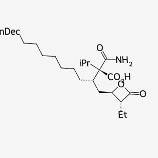 CCCCCCCCCCCCCCCCC[C@@H](C[C@H]1OC(=O)[C@@H]1CC)[C@](C(N)=O)(C(=O)O)C(C)C